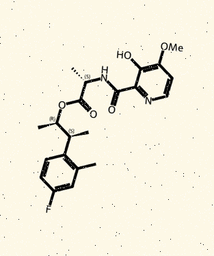 COc1ccnc(C(=O)N[C@@H](C)C(=O)O[C@H](C)[C@@H](C)c2ccc(F)cc2C)c1O